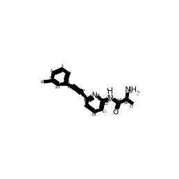 Cc1cccc(C#Cc2cccc(NC(=O)C(C)N)n2)c1